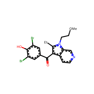 CCc1c(C(=O)c2cc(Br)c(O)c(Br)c2)c2ccncc2n1CCOC